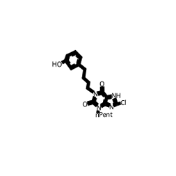 CCCCCn1c(=O)n(CCCCc2cccc(O)c2)c(=O)c2[nH]c(Cl)nc21